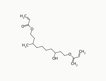 C=CC(=C)OCCC(O)CCCCC(C)CCOC(=O)C=C